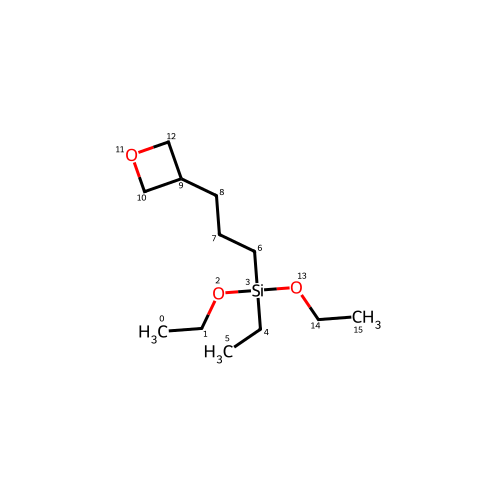 CCO[Si](CC)(CCCC1COC1)OCC